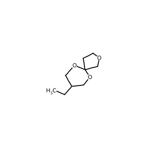 CCC1COC2(CCOC2)OC1